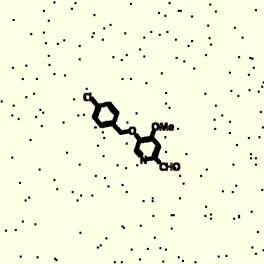 COc1cc(C=O)ncc1OCc1ccc(Cl)cc1